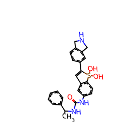 CC(NC(=O)Nc1ccc2c(c1)C=C(c1ccc3c(c1)CNC3)S2(O)O)c1ccccc1